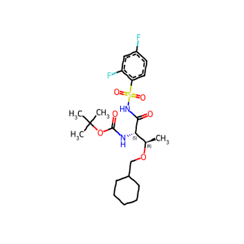 C[C@@H](OCC1CCCCC1)[C@H](NC(=O)OC(C)(C)C)C(=O)NS(=O)(=O)c1ccc(F)cc1F